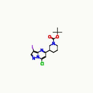 CC(C)(C)OC(=O)N1CCCC(c2cc(Cl)n3ncc(I)c3n2)C1